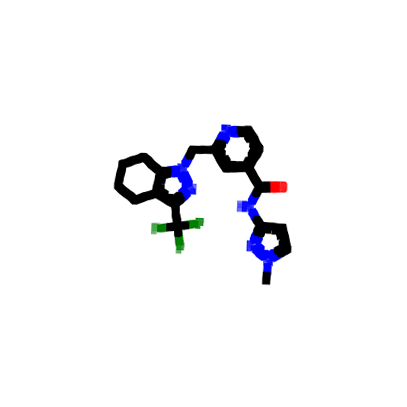 Cn1ccc(NC(=O)c2ccnc(Cn3nc(C(F)(F)F)c4c3CCCC4)c2)n1